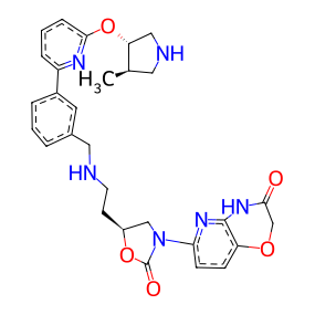 C[C@@H]1CNC[C@H]1Oc1cccc(-c2cccc(CNCC[C@H]3CN(c4ccc5c(n4)NC(=O)CO5)C(=O)O3)c2)n1